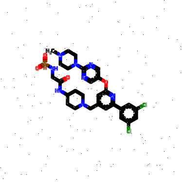 CN1CCN(c2ncc(Oc3cc(CN4CCC(NC(=O)CN[SH](=O)=O)CC4)cc(-c4cc(Cl)cc(Cl)c4)n3)cn2)CC1